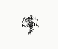 Cc1c2c(nn1Cc1ccc(C#N)cc1)C(C)C=C(c1cc(C(N)=O)nc3cc(F)c(Cl)cc13)N2